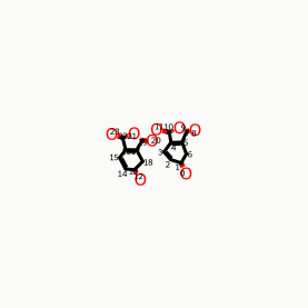 O=C1C=CC2=C(C1)C(=O)OC2=O.O=C1C=CC2=C(C1)C(=O)OC2=O